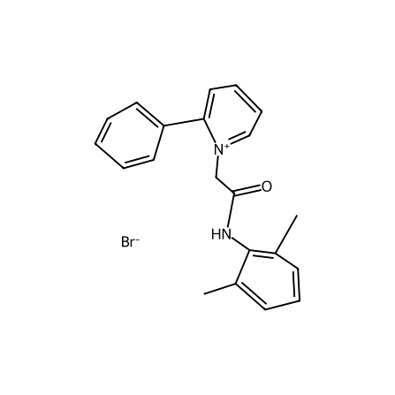 Cc1cccc(C)c1NC(=O)C[n+]1ccccc1-c1ccccc1.[Br-]